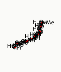 CCCC(=O)OC(CO)COC(=O)c1ccc(C(=O)OCC(O)COC(=O)NCCNCCNCCNC(=O)OC(CO)COC(=O)c2ccc(C(=O)OCC(O)COC(=O)NCCN(C)CCNC)cn2)cn1